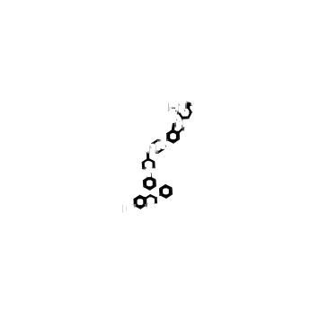 O=C1CC[C@H](N2Cc3cc(N4CCN(CC5CCN(c6ccc([C@H]7c8ccc(O)cc8OC[C@H]7c7ccccc7)cc6)CC5)CC4)ccc3C2=O)C(=O)N1